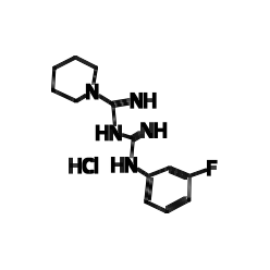 Cl.N=C(NC(=N)N1CCCCC1)Nc1cccc(F)c1